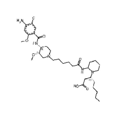 CCCCC[C@H](CC(=O)O)N1CCCCC1NC(=O)CCCCCN1CC[C@@H](NC(=O)c2cc(Cl)c(N)cc2OC)[C@@H](OC)C1